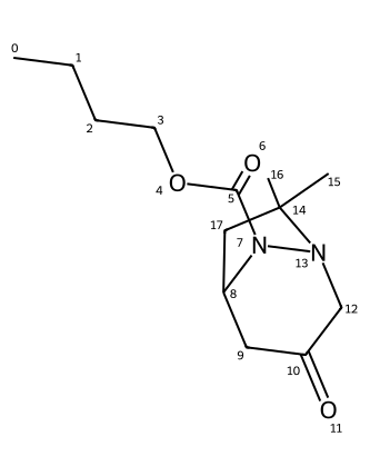 CCCCOC(=O)N1C2CC(=O)CN1C(C)(C)C2